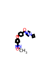 Cc1nc(-c2ccc(OC3CCC(C(=O)N4CCN(C5CCC5)CC4)CC3)cc2)no1